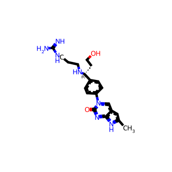 Cc1cc2cn(-c3ccc([C@@H](CCO)NCCCNC(=N)N)cc3)c(=O)nc2[nH]1